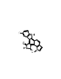 Cn1ccc2ccc3c4[nH]c5ccc(F)cc5c4c4c(c3c21)C(=O)NC4=O